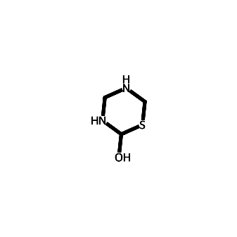 O[C]1NCNCS1